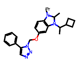 CC(C)N1c2ccc(OCn3nncc3-c3ccccc3)cc2N(C(C)C2CCC2)C1C